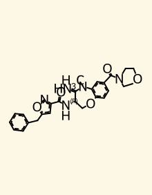 CN1C(=N)[C@@H](NC(=O)c2cc(Cc3ccccc3)on2)COc2ccc(C(=O)N3CCOCC3)cc21